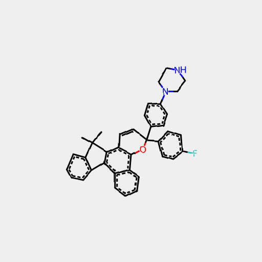 CC1(C)c2ccccc2-c2c1c1c(c3ccccc23)OC(c2ccc(F)cc2)(c2ccc(N3CCNCC3)cc2)C=C1